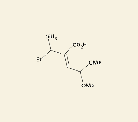 CCC([SiH3])C(=CC(OC)OC)C(=O)O